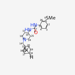 CSc1cccc(NC(=O)NC2CCN(CC3=CC[C@H]4CC3C4(C)C)CC2)c1